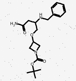 CC(C)(C)OC(=O)N1CC(OCC(CC(N)=O)NCc2ccccc2)C1